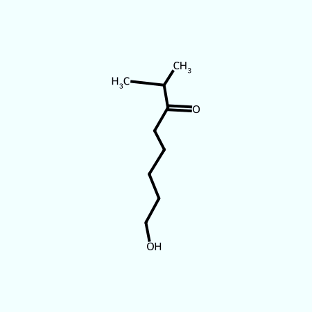 CC(C)C(=O)CCCCCO